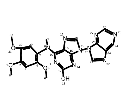 COc1cc(OC)c(N(C)c2nc(O)nc3c2ncn3-n2cnc3cncnc32)cc1OC